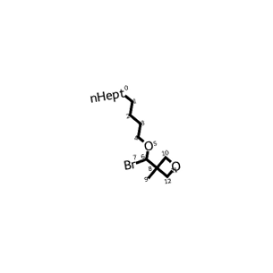 CCCCCCCCCCCOC(Br)C1(C)COC1